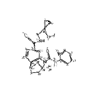 O=C(NCC1(O)CC1)c1ccc2c(n1)N(C(=O)Nc1ccccn1)[C@H]1CCN2C1